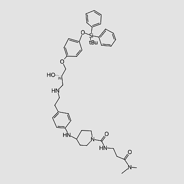 CN(C)C(=O)CCNC(=O)N1CCC(Nc2ccc(CCNC[C@H](O)COc3ccc(O[Si](c4ccccc4)(c4ccccc4)C(C)(C)C)cc3)cc2)CC1